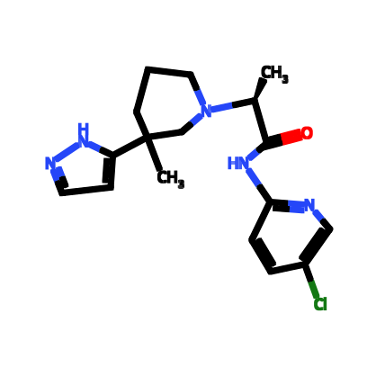 C[C@@H](C(=O)Nc1ccc(Cl)cn1)N1CCCC(C)(c2ccn[nH]2)C1